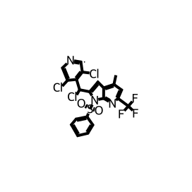 Cc1cc(C(F)(F)F)nc2c1cc(C(Cl)c1c(Cl)[c]ncc1Cl)n2S(=O)(=O)c1ccccc1